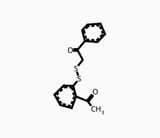 CC(=O)c1ccccc1SSCC(=O)c1ccccc1